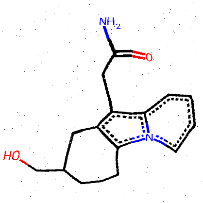 NC(=O)Cc1c2c(n3ccccc13)CCC(CO)C2